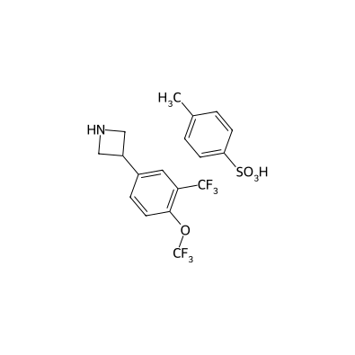 Cc1ccc(S(=O)(=O)O)cc1.FC(F)(F)Oc1ccc(C2CNC2)cc1C(F)(F)F